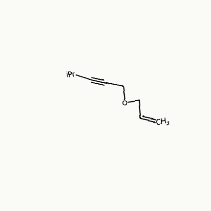 C=CCOCC#CC(C)C